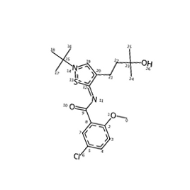 COc1ccc(Cl)cc1C(=O)N=c1sn(C(C)(C)C)cc1CCC(C)(C)O